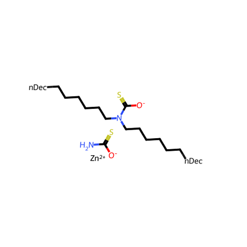 CCCCCCCCCCCCCCCCN(CCCCCCCCCCCCCCCC)C([O-])=S.NC([O-])=S.[Zn+2]